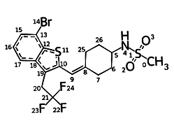 CS(=O)(=O)NC1CCC(=Cc2sc3c(Br)cccc3c2CC(F)(F)F)CC1